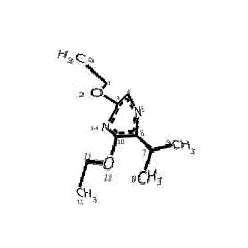 CCOc1cnc(C(C)C)c(OCC)n1